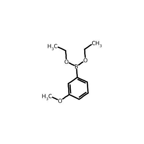 CCOB(OCC)c1cccc(OC)c1